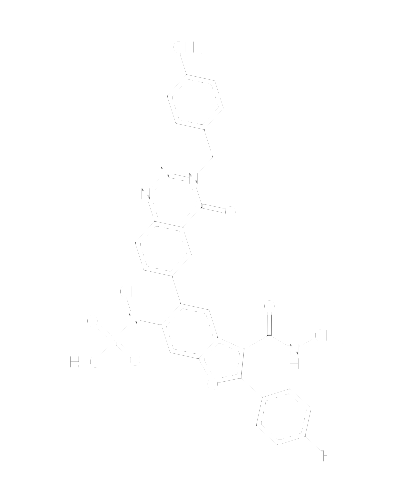 CNC(=O)c1c(-c2ccc(F)cc2)oc2cc(N(C)S(C)(=O)=O)c(-c3ccc4nnn(Cc5ccc(C)cc5)c(=O)c4c3)cc12